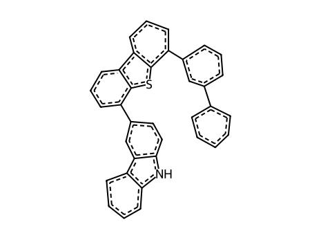 c1ccc(-c2cccc(-c3cccc4c3sc3c(-c5ccc6[nH]c7ccccc7c6c5)cccc34)c2)cc1